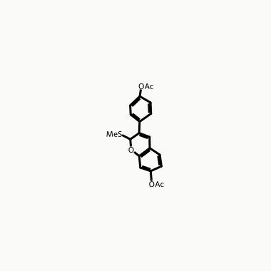 CSC1Oc2cc(OC(C)=O)ccc2C=C1c1ccc(OC(C)=O)cc1